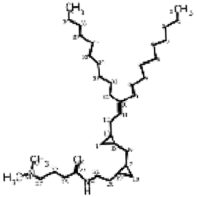 CCCCCCCCCCC(=CCC1CC1CC1CC1CCNC(=O)CCCN(C)C)CCCCCCCCCC